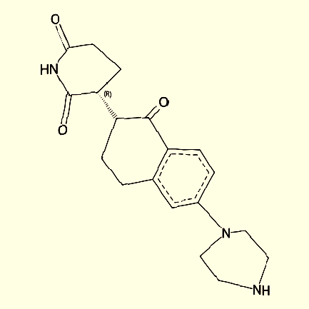 O=C1CC[C@H](C2CCc3cc(N4CCNCC4)ccc3C2=O)C(=O)N1